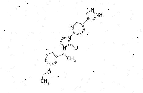 CCOc1cccc(C(C)n2ccn(-c3ccc(-c4cn[nH]c4)cn3)c2=O)c1